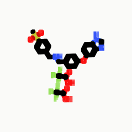 CS(=O)(=O)c1ccc(CNCc2ccc(Oc3ccc4[nH]cnc4c3)cc2)cc1.O=C(O)C(F)(F)F.O=C(O)C(F)(F)F